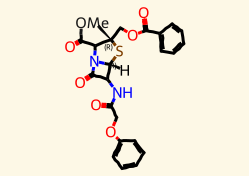 COC(=O)C1N2C(=O)C(NC(=O)COc3ccccc3)[C@H]2S[C@@]1(C)COC(=O)c1ccccc1